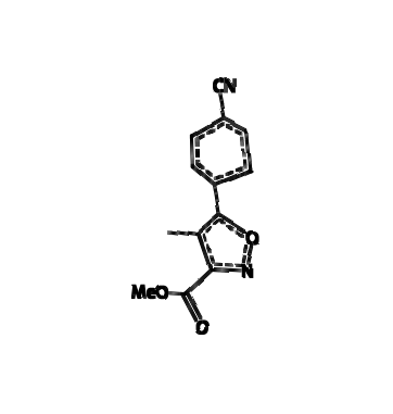 COC(=O)c1noc(-c2ccc(C#N)cc2)c1C